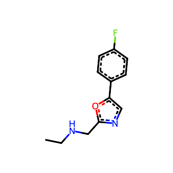 CCNCc1ncc(-c2ccc(F)cc2)o1